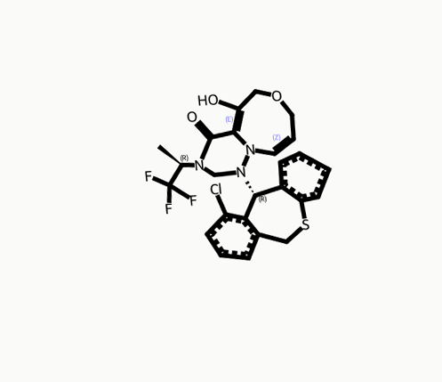 C[C@@H](N1CN([C@@H]2c3ccccc3SCc3cccc(Cl)c32)N2/C=C\COC/C(O)=C\2C1=O)C(F)(F)F